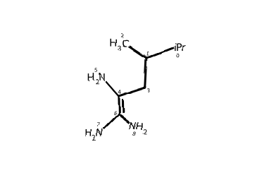 CC(C)C(C)CC(N)=C(N)N